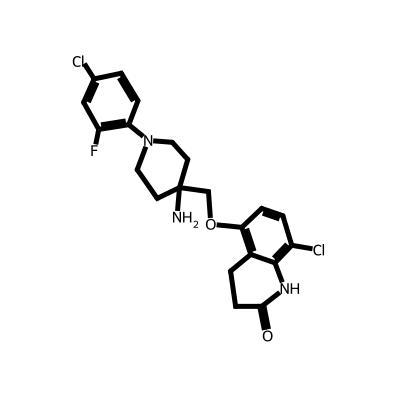 NC1(COc2ccc(Cl)c3c2CCC(=O)N3)CCN(c2ccc(Cl)cc2F)CC1